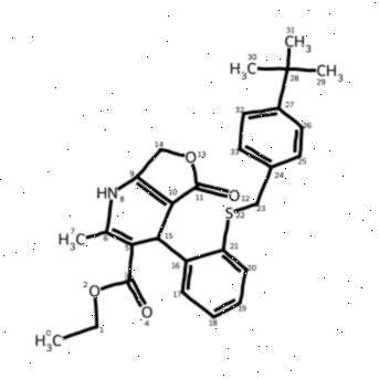 CCOC(=O)C1=C(C)NC2=C(C(=O)OC2)C1c1ccccc1SCc1ccc(C(C)(C)C)cc1